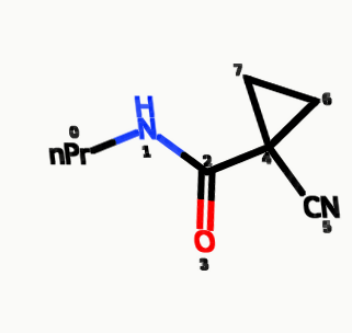 CCCNC(=O)C1(C#N)CC1